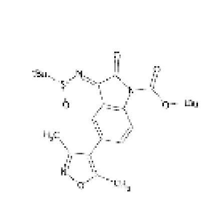 Cc1noc(C)c1-c1ccc2c(c1)/C(=N\[S+]([O-])C(C)(C)C)C(=O)N2C(=O)OC(C)(C)C